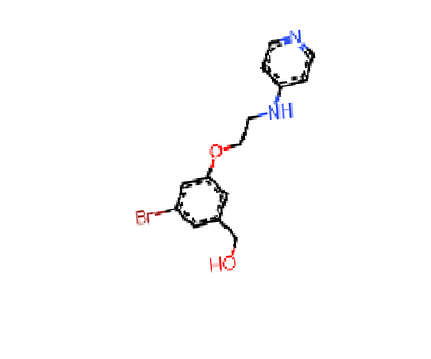 OCc1cc(Br)cc(OCCNc2ccncc2)c1